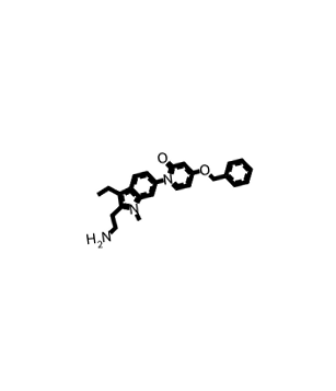 CCc1c(CCN)n(C)c2cc(-n3ccc(OCc4ccccc4)cc3=O)ccc12